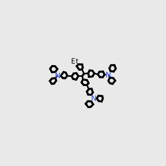 CCc1ccc(C(=C(c2ccc(-c3ccc(N(c4ccccc4)c4ccccc4)cc3)cc2)c2ccc(-c3ccc(N(c4ccccc4)c4ccccc4)cc3)cc2)c2ccc(-c3ccc(N(c4ccccc4)c4ccccc4)cc3)cc2)cc1